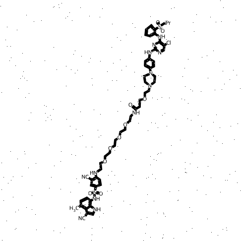 Cc1ccc(NS(=O)(=O)c2ccc(NCCOCCOCCOCCOCCNC(=O)CCOCCN3CCN(c4ccc(Nc5ncc(Cl)c(Nc6ccccc6S(=O)(=O)C(C)C)n5)cc4)CC3)c(C#N)c2)c2[nH]cc(C#N)c12